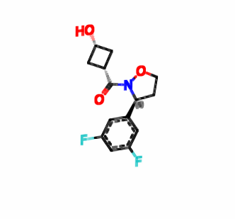 O=C([C@H]1C[C@@H](O)C1)N1OCC[C@H]1c1cc(F)cc(F)c1